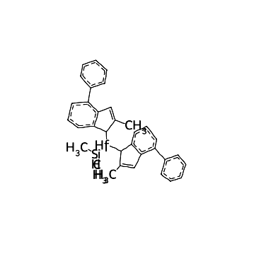 CC1=Cc2c(-c3ccccc3)cccc2[CH]1[Hf]([CH]1C(C)=Cc2c(-c3ccccc3)cccc21)[SiH](C)C